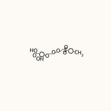 Cc1ccc(S(=O)(=O)CCOCOCCOc2ccc(C(=O)O)c(O)c2)cc1